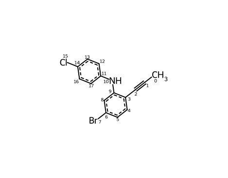 CC#Cc1ccc(Br)cc1Nc1ccc(Cl)cc1